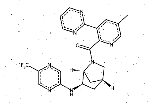 Cc1cnc(C(=O)N2C[C@@H]3C[C@@H](Nc4cnc(C(F)(F)F)cn4)[C@@H]2C3)c(-c2ncccn2)c1